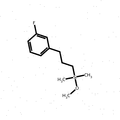 CO[Si](C)(C)CCCc1cccc(F)c1